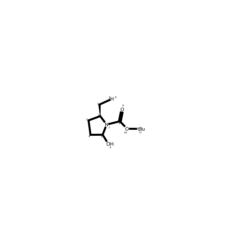 [3H]C[C@@H]1CCC(O)N1C(=O)OC(C)(C)C